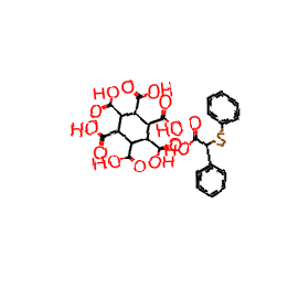 O=C(O)C(Sc1ccccc1)c1ccccc1.O=C(O)C1C(C(=O)O)C(C(=O)O)C(C(=O)O)C(C(=O)O)C1C(=O)O